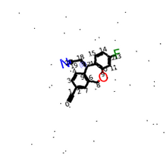 C#Cc1ccc2c(c1)COc1cc(F)ccc1/C2=C/C#N